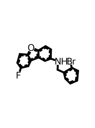 Fc1ccc2oc3ccc(NCc4ccccc4Br)cc3c2c1